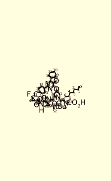 C=CCCCCC[C@@H](C(=O)N1C[C@H](Oc2nc(-c3ccc(C(F)(F)F)cc3)nc3c2oc2ccccc23)C[C@H]1C(=O)N[C@]1(C(=O)NS(=O)(=O)C2CC2)C[C@H]1C=C)N(C(=O)O)C(C)(C)C